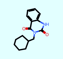 O=c1[nH]c2ccccc2c(=O)n1CC1CCCCC1